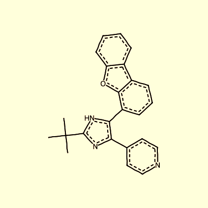 CC(C)(C)c1nc(-c2ccncc2)c(-c2cccc3c2oc2ccccc23)[nH]1